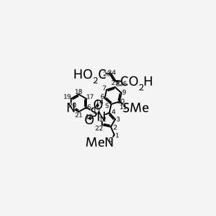 CNCc1cc(-c2ccccc2SC)n(S(=O)(=O)c2cccnc2)c1.O=C(O)/C=C/C(=O)O